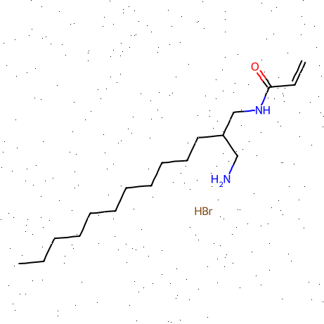 Br.C=CC(=O)NCC(CN)CCCCCCCCCCC